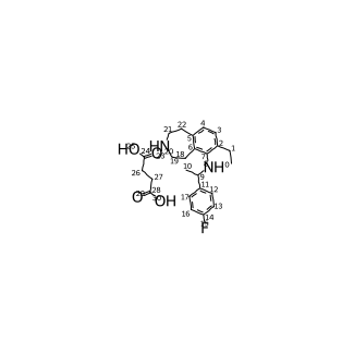 CCc1ccc2c(c1NC(C)c1ccc(F)cc1)CCNCC2.O=C(O)CCC(=O)O